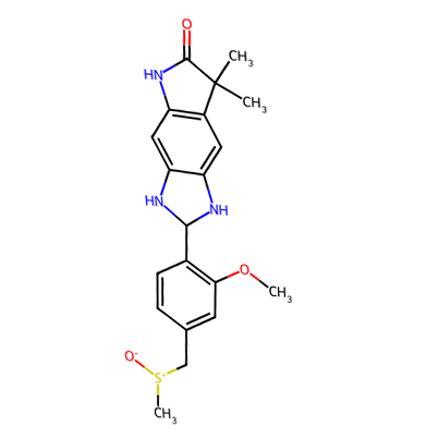 COc1cc(C[S+](C)[O-])ccc1C1Nc2cc3c(cc2N1)C(C)(C)C(=O)N3